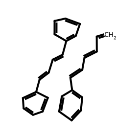 C(C=Cc1ccccc1)=Cc1ccccc1.C=CC=CC=Cc1ccccc1